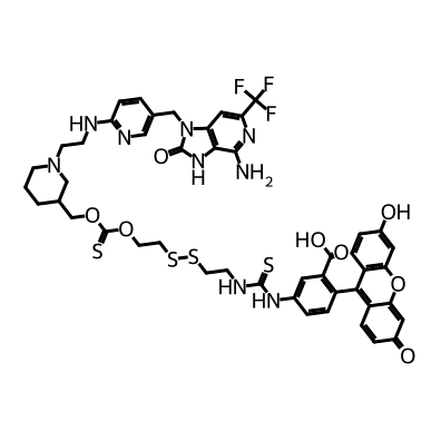 Nc1nc(C(F)(F)F)cc2c1[nH]c(=O)n2Cc1ccc(NCCN2CCCC(COC(=S)OCCSSCCNC(=S)Nc3ccc(-c4c5ccc(=O)cc-5oc5cc(O)ccc45)c(C(=O)O)c3)C2)nc1